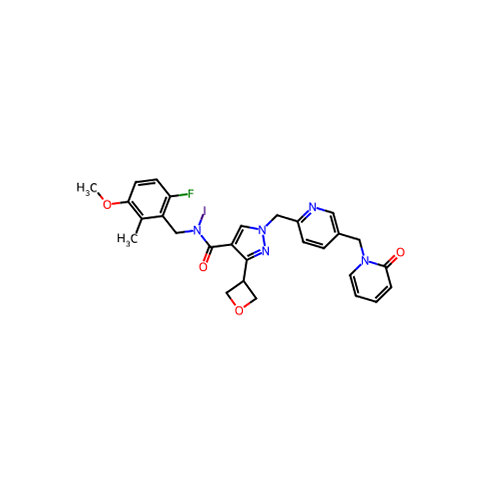 COc1ccc(F)c(CN(I)C(=O)c2cn(Cc3ccc(Cn4ccccc4=O)cn3)nc2C2COC2)c1C